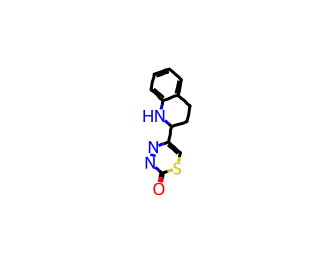 O=c1nnc(C2CCc3ccccc3N2)cs1